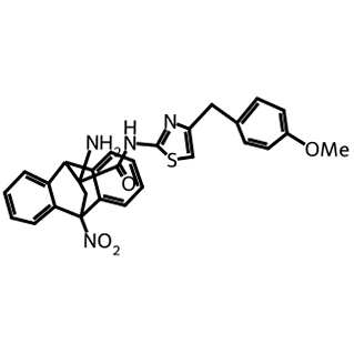 COc1ccc(Cc2csc(NC(=O)C3(N)CC4([N+](=O)[O-])c5ccccc5C3c3ccccc34)n2)cc1